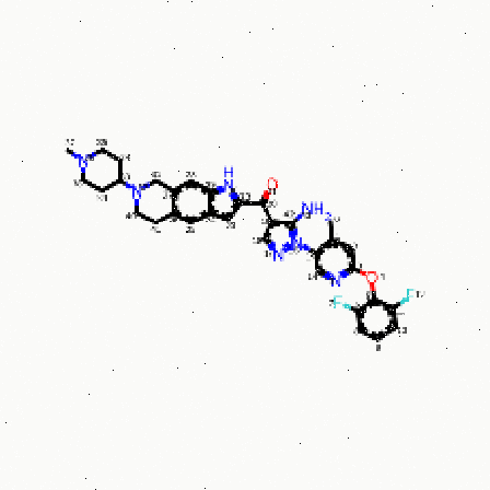 Cc1cc(Oc2c(F)cccc2F)ncc1-n1ncc(C(=O)c2cc3cc4c(cc3[nH]2)CN(C2CCN(C)CC2)CC4)c1N